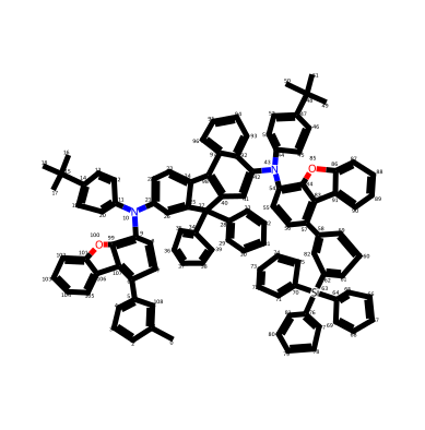 Cc1cccc(-c2ccc(N(c3ccc(C(C)(C)C)cc3)c3ccc4c(c3)C(c3ccccc3)(c3ccccc3)c3cc(N(c5ccc(C(C)(C)C)cc5)c5ccc(-c6cccc([Si](c7ccccc7)(c7ccccc7)c7ccccc7)c6)c6c5oc5ccccc56)c5ccccc5c3-4)c3oc4ccccc4c23)c1